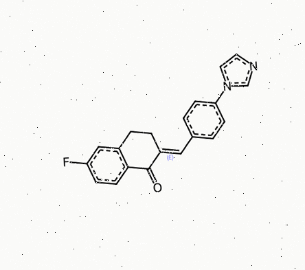 O=C1/C(=C/c2ccc(-n3ccnc3)cc2)CCc2cc(F)ccc21